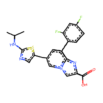 CC(C)Nc1ncc(-c2cc(-c3ccc(F)cc3F)c3nc(C(=O)O)cn3c2)s1